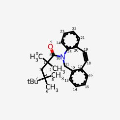 CC(C)(CC(C)(C)C(C)(C)C)C(=O)N1Cc2ccccc2C#Cc2ccccc21